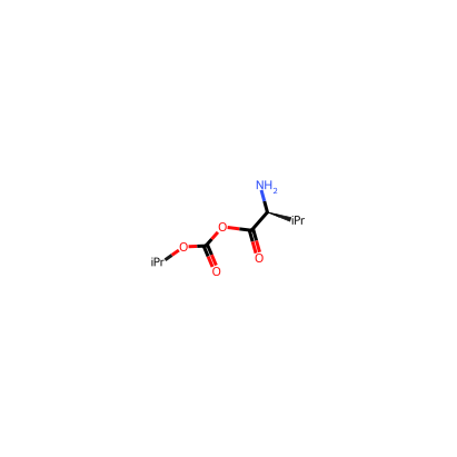 CC(C)OC(=O)OC(=O)[C@@H](N)C(C)C